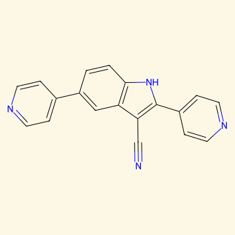 N#Cc1c(-c2ccncc2)[nH]c2ccc(-c3ccncc3)cc12